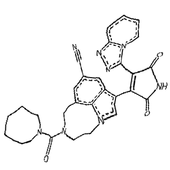 N#Cc1cc2c3c(c1)c(C1=C(c4nnc5ccccn45)C(=O)NC1=O)cn3CCN(C(=O)N1CCCCC1)C2